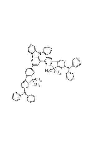 CC1(C)c2cc(-c3cc(-c4ccc5c(c4)C(C)(C)c4cc(N(c6ccccc6)c6ccccc6)ccc4-5)c4c(c3)c3ccccc3n4-c3ccccc3)ccc2-c2ccc(N(c3ccccc3)c3ccccc3)cc21